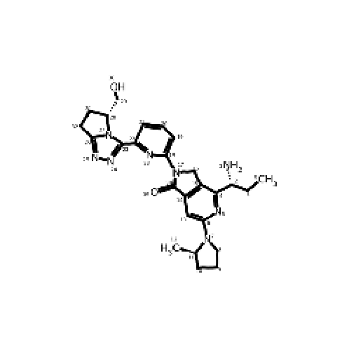 CC[C@@H](N)c1nc(N2CCC[C@H]2C)cc2c1CN(c1cccc(-c3nnc4n3[C@@H](CO)CC4)n1)C2=O